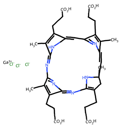 CC1=C(CCC(=O)O)C2=NC1=CC1(C)CC(CCC(=O)O)=C(N=C3N=C(N=c4[nH]c(c(CCC(=O)O)c4C)=C2)C(C)=C3CCC(=O)O)N1.[Cl-].[Cl-].[Cl-].[Ga+3]